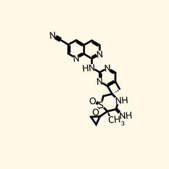 C[C@]1(C2CC2)C(=N)N[C@@]2(Cc3cnc(Nc4nccc5cc(C#N)cnc45)nc32)CS1(=O)=O